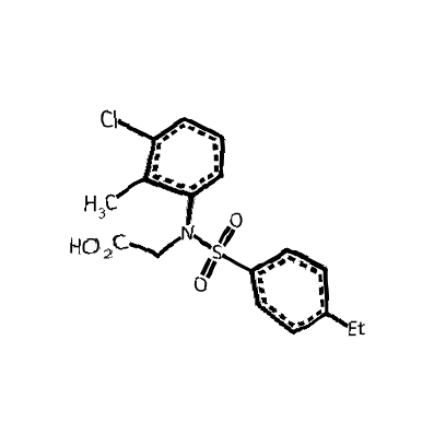 CCc1ccc(S(=O)(=O)N(CC(=O)O)c2cccc(Cl)c2C)cc1